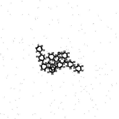 c1ccc(-c2ccc(-c3cccc4c3sc3c(-c5cc6c(oc7cccc(N(c8ccc(-c9ccccc9)cc8)c8ccc(-c9ccccc9)cc8)c76)c6ccccc56)cccc34)cc2)cc1